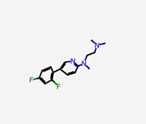 CN(C)CCN(C)c1ccc(-c2ccc(F)cc2F)cn1